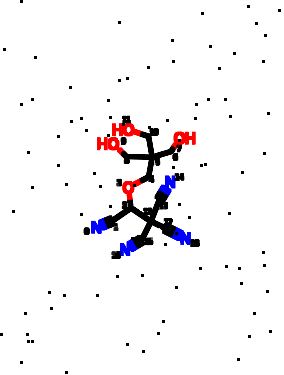 N#CC(OCC(CO)(CO)CO)C(C#N)(C#N)C#N